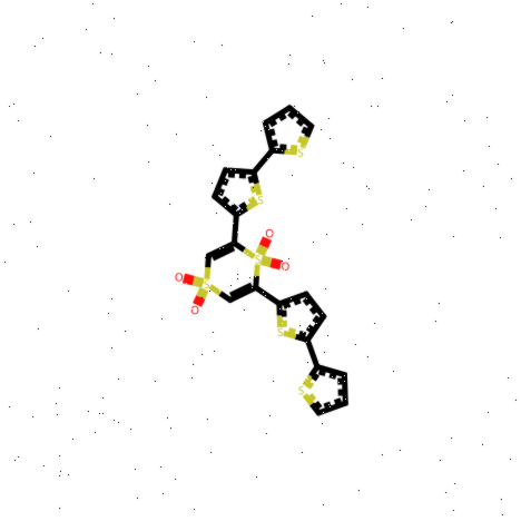 O=S1(=O)C=C(c2ccc(-c3cccs3)s2)S(=O)(=O)C(c2ccc(-c3cccs3)s2)=C1